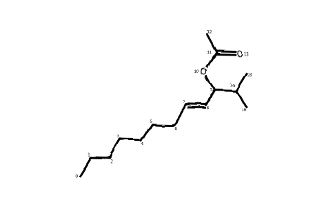 CCCCCCCC=CC(OC(C)=O)C(C)C